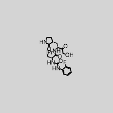 CC(C)C[C@H](NC(=O)Nc1ccccc1F)C(=O)N[C@@H](C[C@@H]1CCNC1=O)C(=O)CO